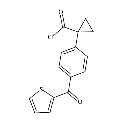 O=C(c1ccc(C2(C(=O)Cl)CC2)cc1)c1cccs1